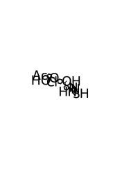 CC(=O)c1ccc(OCc2ccc(C(O)c3cccc(-c4nnc(S)[nH]4)c3)cc2)c(Cl)c1O